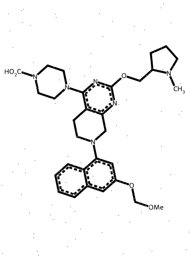 COCOc1cc(N2CCc3c(nc(OCC4CCCN4C)nc3N3CCN(C(=O)O)CC3)C2)c2ccccc2c1